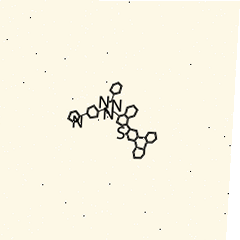 c1ccc(-c2nc(-c3ccc(-c4ccccn4)cc3)nc(-c3cc4sc5cc6c7ccccc7c7ccccc7c6cc5c4c4ccccc34)n2)cc1